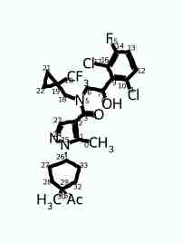 Cc1c(C(=O)N(CC(O)c2c(Cl)ccc(F)c2Cl)CC2(C(F)(F)F)CC2)cnn1[C@H]1CC[C@](C)(C(C)=O)CC1